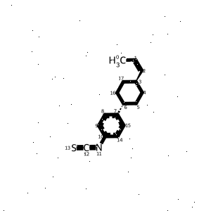 C/C=C\[C@H]1CC[C@H](c2ccc(N=C=S)cc2)CC1